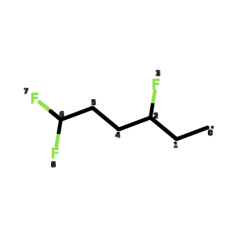 [CH2]CC(F)CCC(F)F